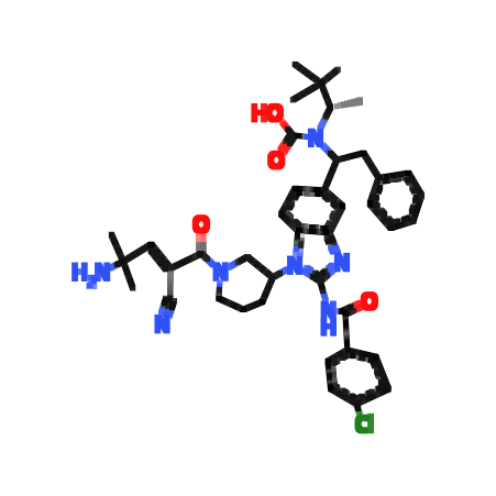 C[C@H](N(C(=O)O)C(Cc1ccccc1)c1ccc2c(c1)nc(NC(=O)c1ccc(Cl)cc1)n2C1CCCN(C(=O)C(C#N)=CC(C)(C)N)C1)C(C)(C)C